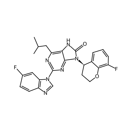 CC(C)Cc1nc(-n2cnc3ccc(F)cc32)nc2c1[nH]c(=O)n2[C@@H]1CCOc2c(F)cccc21